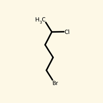 CC(Cl)CCCBr